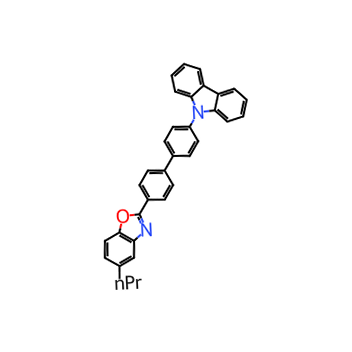 CCCc1ccc2oc(-c3ccc(-c4ccc(-n5c6ccccc6c6ccccc65)cc4)cc3)nc2c1